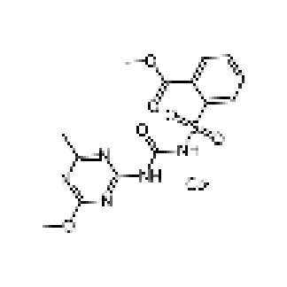 COC(=O)c1ccccc1S(=O)(=O)NC(=O)Nc1nc(C)nc(OC)n1.[Co]